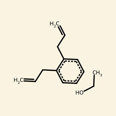 C=CCc1ccccc1CC=C.CCO